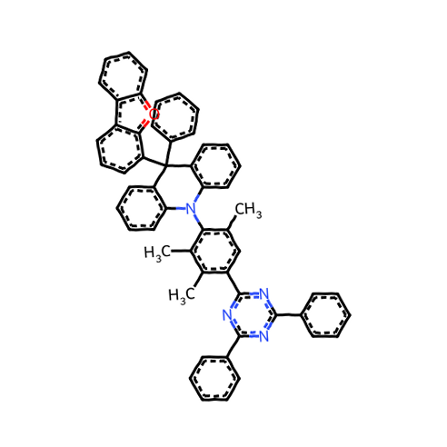 Cc1cc(-c2nc(-c3ccccc3)nc(-c3ccccc3)n2)c(C)c(C)c1N1c2ccccc2C(c2ccccc2)(c2cccc3c2oc2ccccc23)c2ccccc21